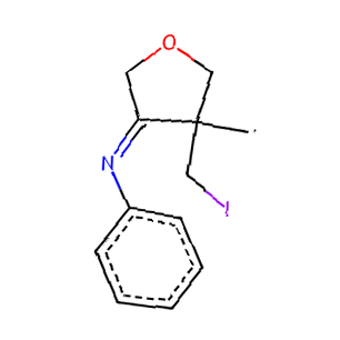 [CH2]C1(CI)COCC1=Nc1ccccc1